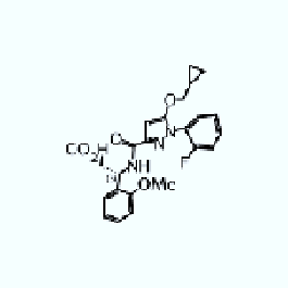 COc1ccccc1[C@H](CC(=O)O)NC(=O)c1cc(OCC2CC2)n(-c2ccccc2F)n1